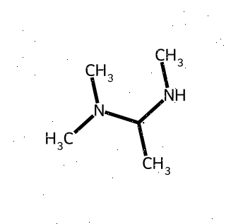 CN[C](C)N(C)C